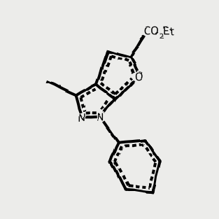 CCOC(=O)c1cc2c(C)nn(-c3ccccc3)c2o1